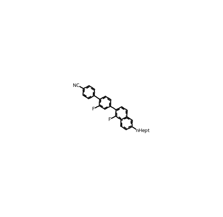 CCCCCCCc1ccc2c(F)c(-c3ccc(-c4ccc(C#N)cc4)c(F)c3)ccc2c1